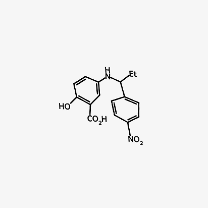 CCC(Nc1ccc(O)c(C(=O)O)c1)c1ccc([N+](=O)[O-])cc1